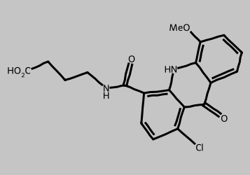 COc1cccc2c(=O)c3c(Cl)ccc(C(=O)NCCCC(=O)O)c3[nH]c12